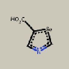 O=C(O)c1cn[c][se]1